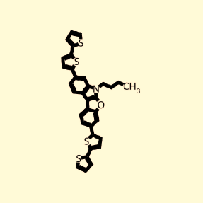 CCCCn1c2cc(-c3ccc(-c4cccs4)s3)ccc2c2c3ccc(C4CC=C(c5cccs5)S4)cc3oc21